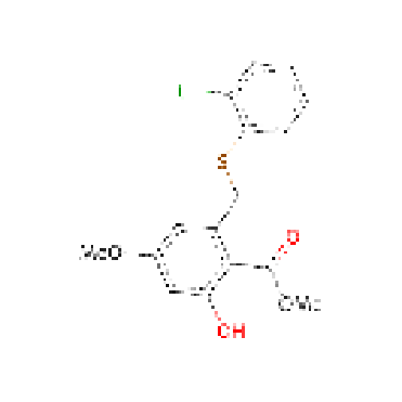 COC(=O)c1c(O)cc(OC)cc1CSc1ccccc1Cl